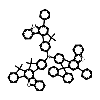 CC1(C)c2cc(N(c3ccc4c(c3)C(C)(C)c3c5c(c6oc7ccccc7c6c3-4)-c3ccccc3C5(C)C)c3ccc4c(c3)C3(c5ccccc5-c5ccccc53)c3cc(-c5ccccc5)c5oc6ccccc6c5c3-4)ccc2-c2c1cc(-c1ccccc1)c1oc3ccccc3c21